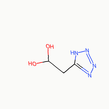 OC(O)Cc1nnn[nH]1